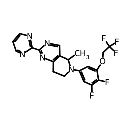 CC1c2cnc(-c3ncccn3)nc2CCN1c1cc(F)c(F)c(OCC(F)(F)F)c1